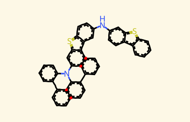 c1ccc(-c2ccccc2N(c2ccc3c(c2)sc2ccc(Nc4ccc5c(c4)sc4ccccc45)cc23)c2ccccc2-c2ccccc2)cc1